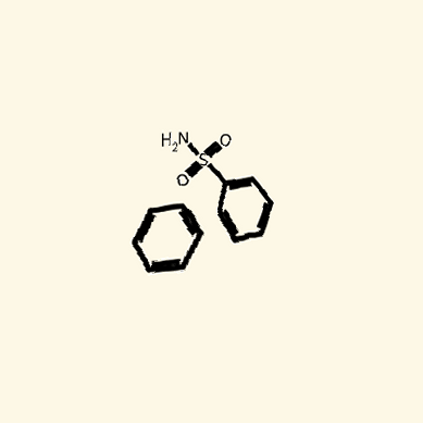 NS(=O)(=O)c1ccccc1.c1ccccc1